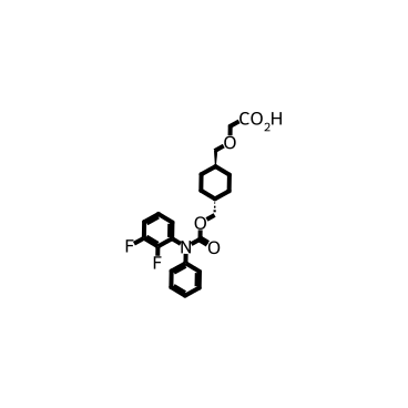 O=C(O)COC[C@H]1CC[C@H](COC(=O)N(c2ccccc2)c2cccc(F)c2F)CC1